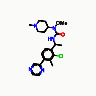 CON(C(=O)NC(C)c1ccc(-c2cnccn2)c(C)c1Cl)C1CCN(C)CC1